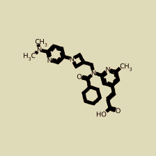 Cc1cc(C=CC(=O)O)cc(N(CC2CN(c3ccc(N(C)C)nc3)C2)C(=O)C2CCCCC2)n1